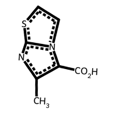 Cc1nc2sccn2c1C(=O)O